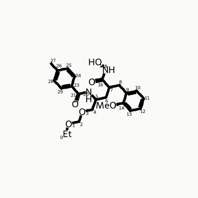 CCOCOCC(CC(Cc1ccccc1OC)C(=O)NO)NC(=O)c1ccc(C)cc1